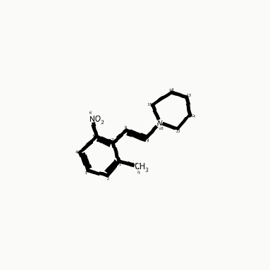 Cc1cccc([N+](=O)[O-])c1C=CN1CCCCC1